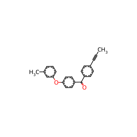 CC#Cc1ccc(C(=O)c2ccc(Oc3cccc(C)c3)cc2)cc1